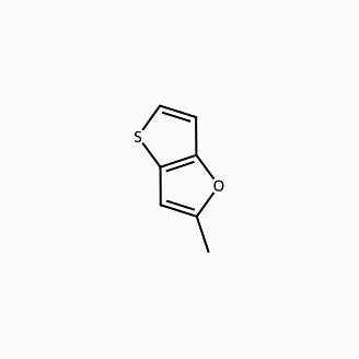 Cc1cc2sccc2o1